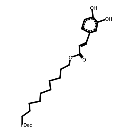 CCCCCCCCCCCCCCCCCCCCOC(=O)/C=C/c1ccc(O)c(O)c1